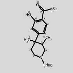 CCCCCCN1CCC(C)(c2ccc(C(=O)C(C)CC)c(O)c2)C(C)C1